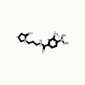 CCCN(CCC)c1ccc(C(=O)NCCCN2CCCC2=O)cc1C